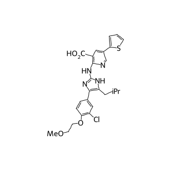 COCCOc1ccc(-c2nc(Nc3ncc(-c4cccs4)cc3C(=O)O)[nH]c2CC(C)C)cc1Cl